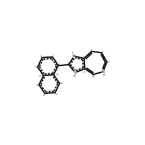 C1=CC=c2nc(-c3cccc4ccccc34)sc2=CN=1